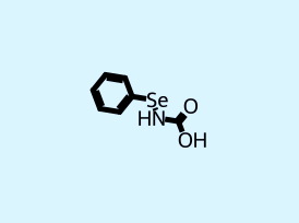 O=C(O)N[Se]c1ccccc1